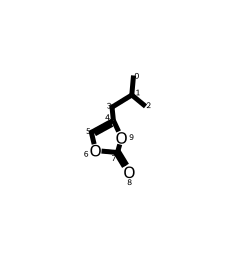 CC(C)Cc1coc(=O)o1